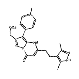 COCc1nn2c(=O)cc(CCc3c(C)n[nH]c3C)[nH]c2c1-c1ccc(C)cc1